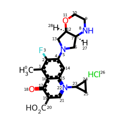 Cc1c(F)c(N2C[C@@H]3NCCO[C@@H]3C2)cc2c1c(=O)c(C(=O)O)cn2C1CC1.Cl